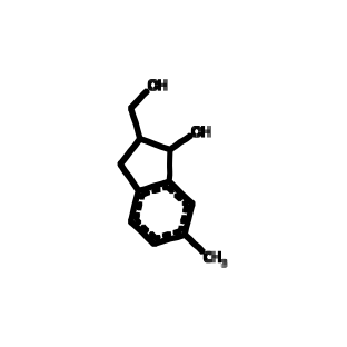 Cc1ccc2c(c1)C(O)C(CO)C2